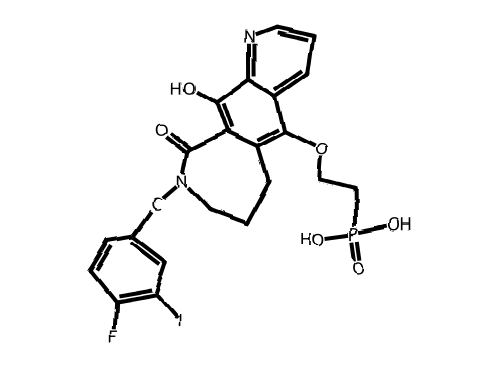 O=C1c2c(c(OCCP(=O)(O)O)c3cccnc3c2O)CCCN1Cc1ccc(F)c(I)c1